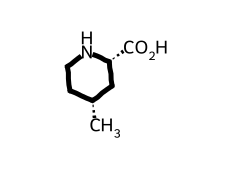 C[C@@H]1CCN[C@H](C(=O)O)C1